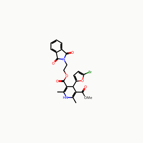 COC(=O)C1=C(C)NC(C)=C(C(=O)OCCN2C(=O)c3ccccc3C2=O)C1c1ccc(Br)o1